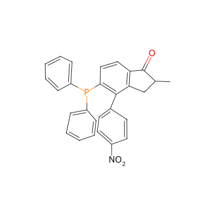 CC1Cc2c(ccc(P(c3ccccc3)c3ccccc3)c2-c2ccc([N+](=O)[O-])cc2)C1=O